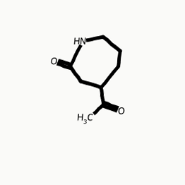 CC(=O)C1CCCNC(=O)C1